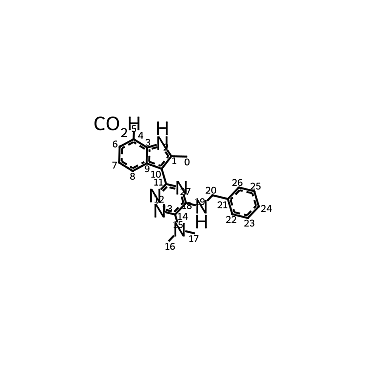 Cc1[nH]c2c(C(=O)O)cccc2c1-c1nnc(N(C)C)c(NCc2ccccc2)n1